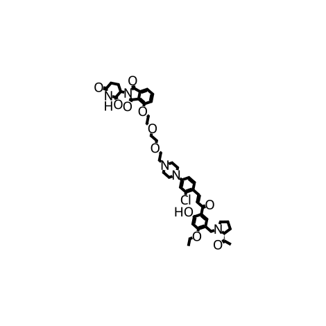 CCOc1cc(O)c(C(=O)/C=C/c2ccc(N3CCN(CCOCCOCCOc4cccc5c4C(=O)N(C4CCC(=O)NC4=O)C5=O)CC3)cc2Cl)cc1CN1CCC[C@@H]1C(C)=O